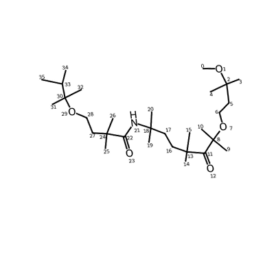 COC(C)(C)CCOC(C)(C)C(=O)C(C)(C)CCC(C)(C)NC(=O)C(C)(C)CCOC(C)(C)C(C)C